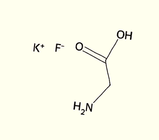 NCC(=O)O.[F-].[K+]